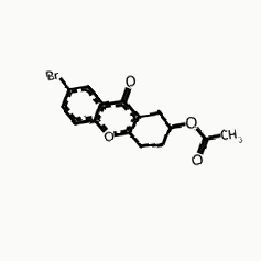 CC(=O)OC1CCc2oc3ccc(Br)cc3c(=O)c2C1